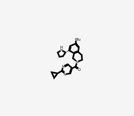 CC(C)(C)c1cc2c(c([C@@H]3CCCN3)c1)CN(C(=O)c1cnc(C3CC3)nc1)CC2